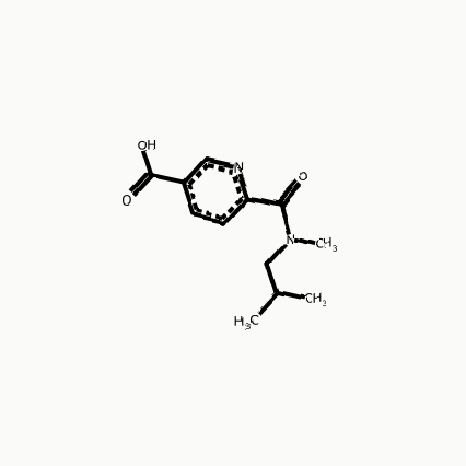 CC(C)CN(C)C(=O)c1ccc(C(=O)O)cn1